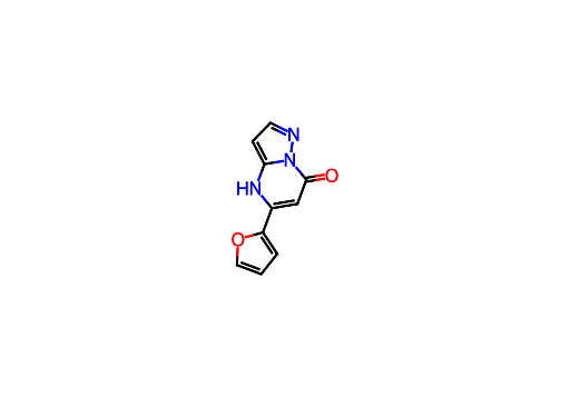 O=c1cc(-c2ccco2)[nH]c2ccnn12